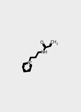 C=CC(=O)NCCC[n+]1ccccc1